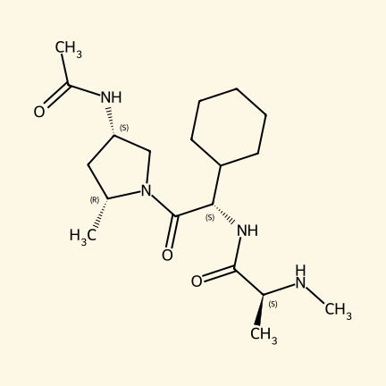 CN[C@@H](C)C(=O)N[C@H](C(=O)N1C[C@@H](NC(C)=O)C[C@H]1C)C1CCCCC1